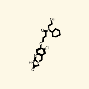 O=C1CN2Cc3cc(Cl)c(OCCCC(=O)N(CCO)C4CCCCC4)cc3N=C2N1